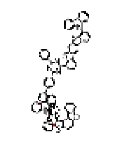 c1ccc(-c2nc(-c3ccc(-c4cccc(-c5nc(-c6ccccc6)nc(-c6cccc7oc8ccc9sc%10ccc(-n%11c%12ccccc%12c%12ccccc%12%11)cc%10c9c8c67)n5)c4)cc3)nc(-c3cccc4c3sc3cc5sc6c(-n7c8ccccc8c8ccccc87)cccc6c5cc34)n2)cc1